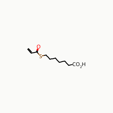 C=CC(=O)SCCCCCCC(=O)O